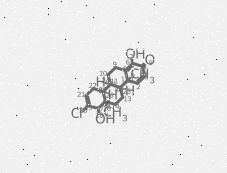 C[C@]12C=CC(=O)C(O)=C1CC[C@@H]1[C@@H]2CC[C@]2(C)C(O)C(Cl)=CC[C@@H]12